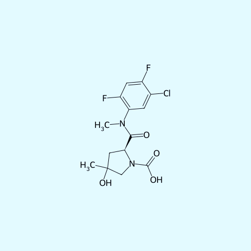 CN(C(=O)[C@@H]1CC(C)(O)CN1C(=O)O)c1cc(Cl)c(F)cc1F